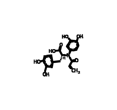 C=CC(=O)N(c1ccc(O)c(O)c1)[C@H](Cc1ccc(O)c(O)c1)C(=O)O